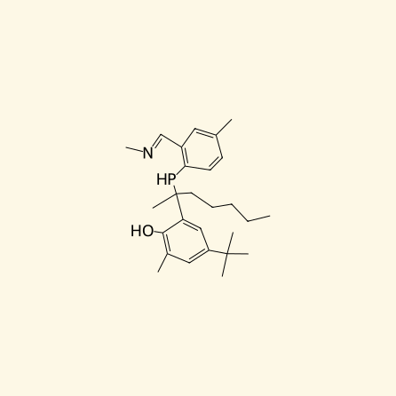 CCCCCC(C)(Pc1ccc(C)cc1/C=N/C)c1cc(C(C)(C)C)cc(C)c1O